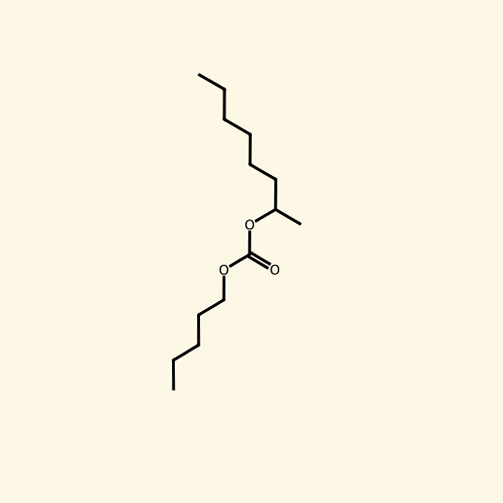 CCCCCCC(C)OC(=O)OCCCCC